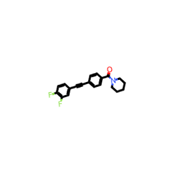 O=C(c1ccc(C#Cc2ccc(F)c(F)c2)cc1)N1CCCCC1